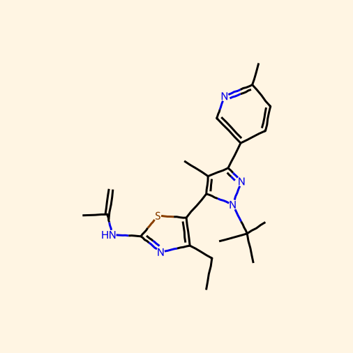 C=C(C)Nc1nc(CC)c(-c2c(C)c(-c3ccc(C)nc3)nn2C(C)(C)C)s1